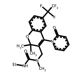 CCNC(=O)N(C)CC1=C(n2ccccc2=O)c2cc(C(F)(F)C(F)(F)F)ccc2OC1(C)C